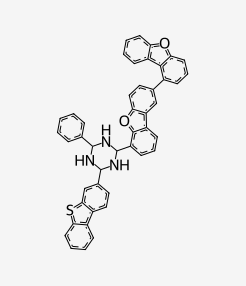 c1ccc(C2NC(c3ccc4c(c3)sc3ccccc34)NC(c3cccc4c3oc3ccc(-c5cccc6oc7ccccc7c56)cc34)N2)cc1